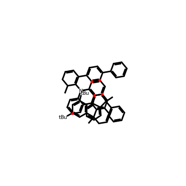 CC1CC=CC(c2ccc(-c3ccccc3)cc2)=C1N(c1ccccc1-c1cccc2c1C(C)(c1cc(C(C)(C)C)cc(C(C)(C)C)c1)CC=C2)c1cccc2c1-c1ccccc1C2(C)c1ccccc1